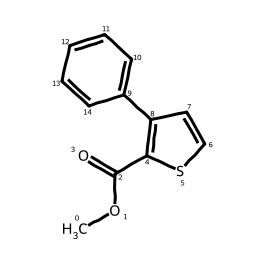 COC(=O)c1sccc1-c1ccccc1